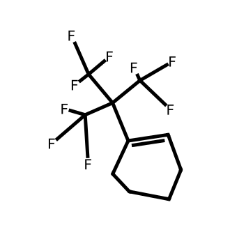 FC(F)(F)C(C1=CCCCC1)(C(F)(F)F)C(F)(F)F